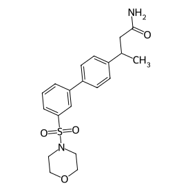 CC(CC(N)=O)c1ccc(-c2cccc(S(=O)(=O)N3CCOCC3)c2)cc1